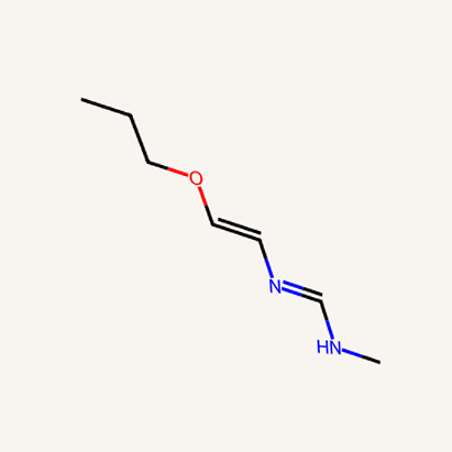 CCCOC=CN=CNC